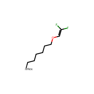 CCCCCCCCCCCCOC=C(F)F